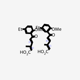 CCc1ccc(OC)c(C(=O)/C=C/C(C)=C/C(=O)O)c1.CCc1ccc(OC)c(C(=O)/C=C/C(C)=C/C(=O)O)c1